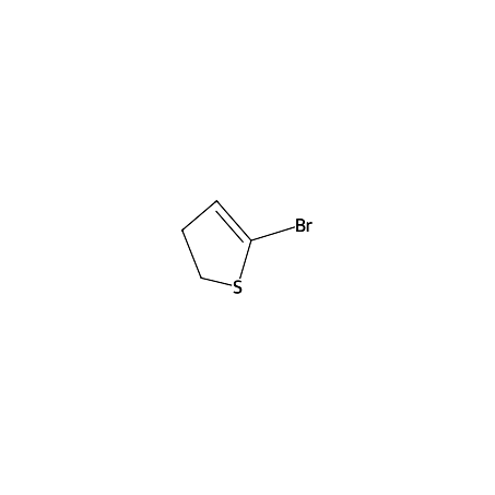 BrC1=CCCS1